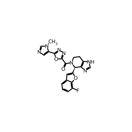 Cn1cncc1-c1nnc(C(=O)N2CCc3[nH]cnc3[C@H]2c2cc3cccc(F)c3o2)o1